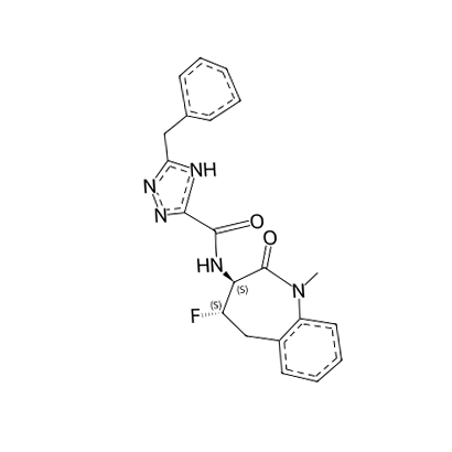 CN1C(=O)[C@H](NC(=O)c2nnc(Cc3ccccc3)[nH]2)[C@@H](F)Cc2ccccc21